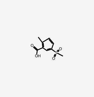 Cc1ccc(S(C)(=O)=O)cc1C(=O)O